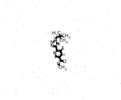 COC(=O)c1cnc(-c2nnn(CC(C)(C)C)n2)c(F)c1